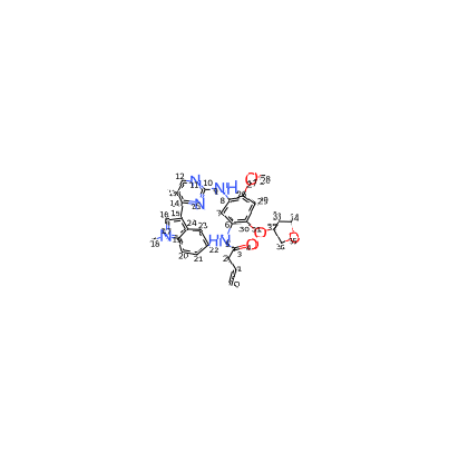 C=CCC(=O)Nc1cc(Nc2nccc(-c3cn(C)c4ccccc34)n2)c(OC)cc1OC1CCOC1